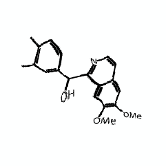 COc1cc2ccnc(C(O)c3ccc(C)c(C)c3)c2cc1OC